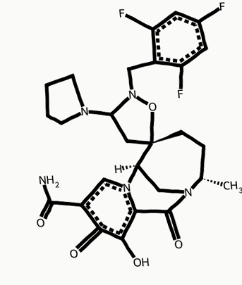 C[C@H]1CC[C@]2(CC(N3CCCC3)N(Cc3c(F)cc(F)cc3F)O2)[C@H]2CN1C(=O)c1c(O)c(=O)c(C(N)=O)cn12